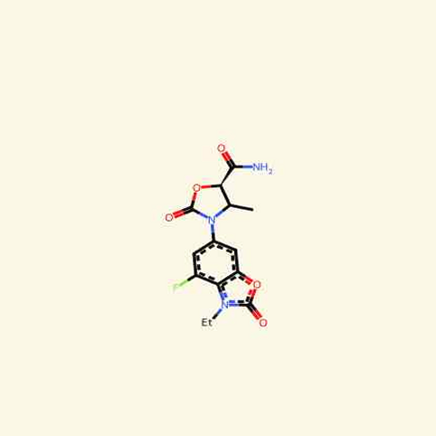 CCn1c(=O)oc2cc(N3C(=O)O[C@@H](C(N)=O)C3C)cc(F)c21